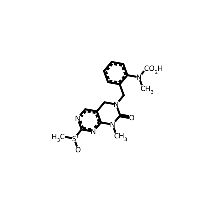 CN(C(=O)O)c1ccccc1CN1Cc2cnc([S+](C)[O-])nc2N(C)C1=O